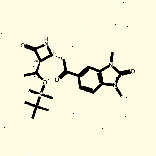 CC(O[Si](C)(C)C(C)(C)C)[C@H]1C(=O)N[C@@H]1CC(=O)c1ccc2c(c1)n(C)c(=O)n2C